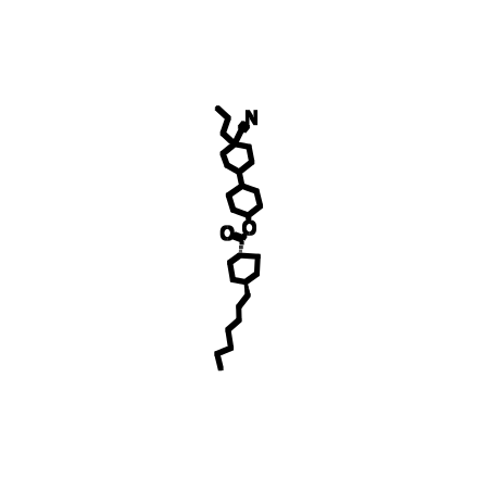 CCCCCCC[C@H]1CC[C@H](C(=O)OC2CCC(C3CCC(C#N)(CCC)CC3)CC2)CC1